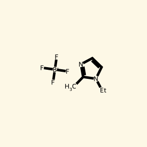 CCn1ccnc1C.F[B-](F)(F)F